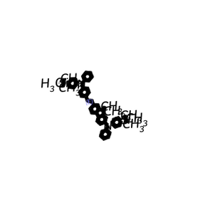 CC1(C)c2cc(/C=C/c3ccc(N(c4ccccc4)c4ccc([Si](C)(C)C)cc4)cc3)ccc2-c2ccc(N(c3ccccc3)c3ccc([Si](C)(C)C)cc3)cc21